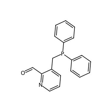 O=Cc1ncccc1CP(c1ccccc1)c1ccccc1